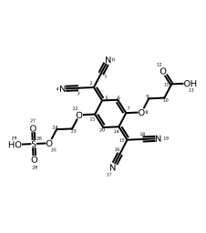 N#CC(C#N)=c1cc(OCCC(=O)O)c(=C(C#N)C#N)cc1OCCOS(=O)(=O)O